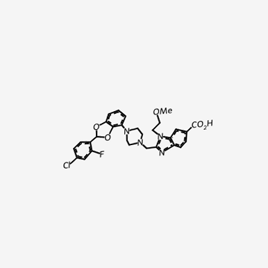 COCCn1c(CN2CCN(c3cccc4c3OC(c3ccc(Cl)cc3F)O4)CC2)nc2ccc(C(=O)O)cc21